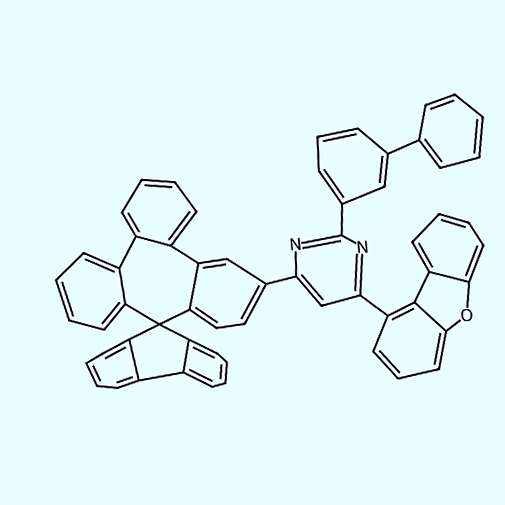 c1ccc(-c2cccc(-c3nc(-c4ccc5c(c4)-c4ccccc4-c4ccccc4C54c5ccccc5-c5ccccc54)cc(-c4cccc5oc6ccccc6c45)n3)c2)cc1